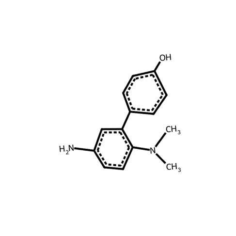 CN(C)c1ccc(N)cc1-c1ccc(O)cc1